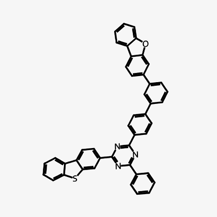 c1ccc(-c2nc(-c3ccc(-c4cccc(-c5ccc6c(c5)oc5ccccc56)c4)cc3)nc(-c3ccc4c(c3)sc3ccccc34)n2)cc1